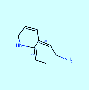 C/C=C1/NCC=C/C1=C/CN